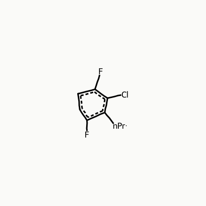 CC[CH]c1c(F)ccc(F)c1Cl